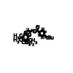 CN1C(C)(C)CC2(CC1(C)C)OCC(COC(=O)c1ccc(C(C)(C)C)cc1)O2